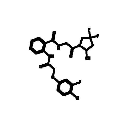 N#CC1CC(F)(F)CN1C(=O)CNC(=O)c1ccncc1NC(=O)COc1ccc(Cl)c(F)c1